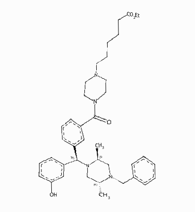 CCOC(=O)CCCCCN1CCN(C(=O)c2cccc([C@H](c3cccc(O)c3)N3C[C@@H](C)N(Cc4ccccc4)C[C@@H]3C)c2)CC1